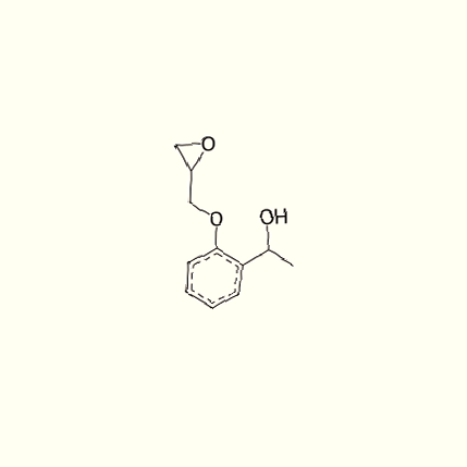 CC(O)c1ccccc1OCC1CO1